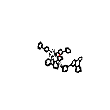 c1ccc(-c2ccc(-c3nc(-c4ccc(-c5ccccc5)cc4)nc(-n4c5ccccc5c5ccc6c(c7ccccc7n6-c6cccc(-c7ccc8c9ccccc9c9ccccc9c8c7)c6)c54)n3)cc2)cc1